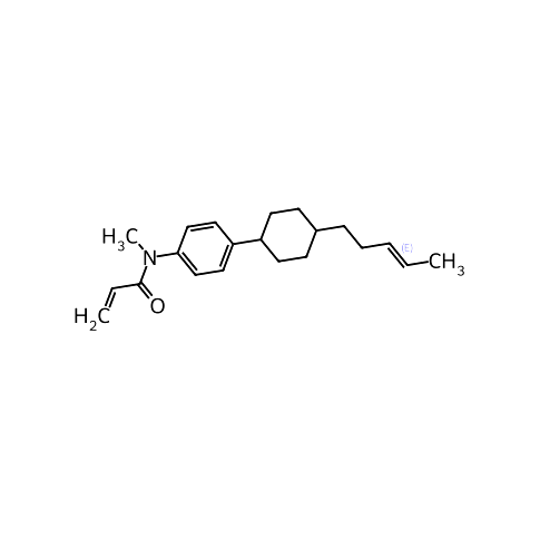 C=CC(=O)N(C)c1ccc(C2CCC(CC/C=C/C)CC2)cc1